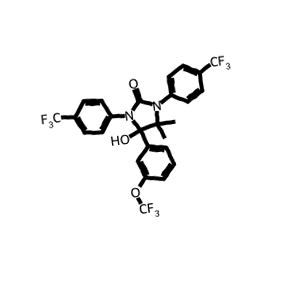 CC1(C)N(c2ccc(C(F)(F)F)cc2)C(=O)N(c2ccc(C(F)(F)F)cc2)C1(O)c1cccc(OC(F)(F)F)c1